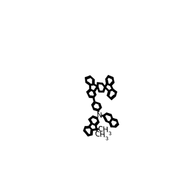 CC1(C)c2ccccc2-c2ccc(N(c3ccc(-c4ccc5c(c4)C4(CCC6(CC4)c4ccccc4-c4ccccc46)c4ccccc4-5)cc3)c3ccc4ccccc4c3)cc21